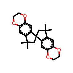 CC1(C)CC2(CC(C)(C)c3cc4c(cc32)OCCO4)c2cc3c(cc21)OCCO3